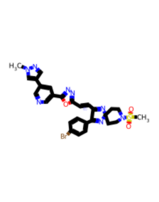 Cn1cc(-c2cncc(-c3nnc(/C=C/C4=NC5(CCN(S(C)(=O)=O)CC5)N=C4c4ccc(Br)cc4)o3)c2)cn1